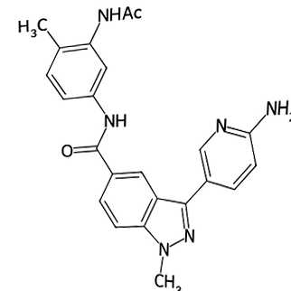 CC(=O)Nc1cc(NC(=O)c2ccc3c(c2)c(-c2ccc(N)nc2)nn3C)ccc1C